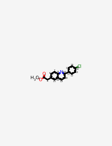 COC(=O)Cc1ccc2nc(-c3ccc(Cl)cc3)ccc2c1